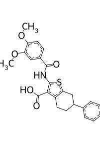 COc1ccc(C(=O)Nc2sc3c(c2C(=O)O)CCC(c2ccccc2)C3)cc1OC